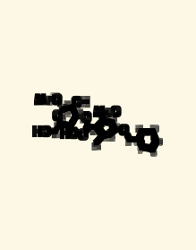 COc1cc(OCc2ccccc2)cc(C)c1C(=O)O[C@@H]1[C@@H](O)[C@@H](OC)O[C@H](CO)[C@H]1O